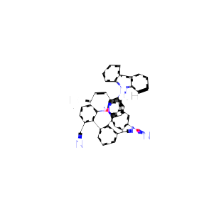 C=C/C=C\c1c(C)c2cc(C#N)ccc2n1-c1cccc(C#N)c1-c1cccc(C#N)c1-c1ccc(-n2c3c#cccc3c3ccccc32)cc1